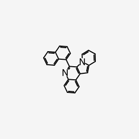 c1ccc2c(-c3nc4ccccc4c4cc5ccccn5c34)cccc2c1